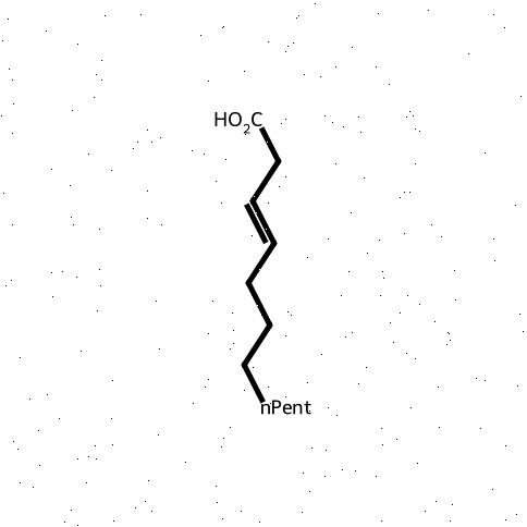 CCCCCCCCC=CCC(=O)O